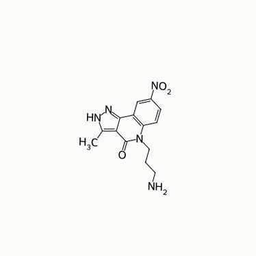 Cc1[nH]nc2c1c(=O)n(CCCN)c1ccc([N+](=O)[O-])cc21